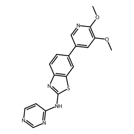 COc1cc(-c2ccc3nc(Nc4ccncn4)sc3c2)cnc1OC